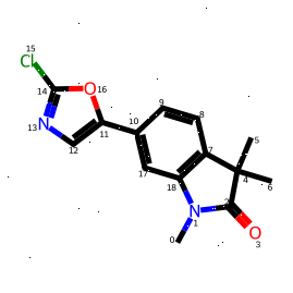 CN1C(=O)C(C)(C)c2ccc(-c3cnc(Cl)o3)cc21